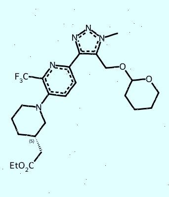 CCOC(=O)C[C@@H]1CCCN(c2ccc(-c3nnn(C)c3COC3CCCCO3)nc2C(F)(F)F)C1